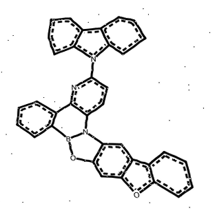 c1ccc2c(c1)B1Oc3cc4oc5ccccc5c4cc3N1c1ccc(-n3c4ccccc4c4ccccc43)nc1-2